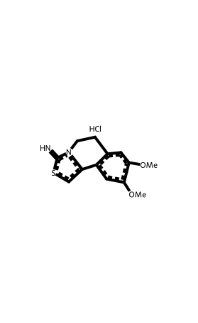 COc1cc2c(cc1OC)-c1csc(=N)n1CC2.Cl